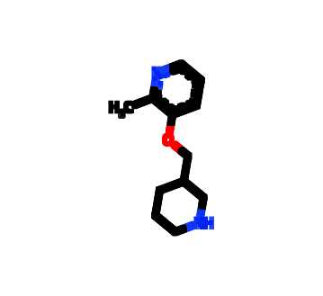 Cc1ncccc1OCC1CCCNC1